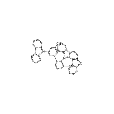 N#Cc1cc(-c2cccc(C#N)c2-n2c3ccccc3c3ccc4oc5ccccc5c4c32)cc(-n2c3ccccc3c3ccccc32)c1